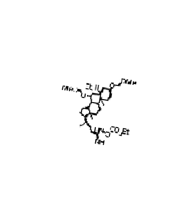 CCOC(=O)ONC(=N)CC[C@@H](C)[C@H]1CCC2C3C(CC[C@@]21C)[C@@]1(C)CC[C@@H](OCOC)C[C@H]1[C@@H](CC)[C@H]3OCOC